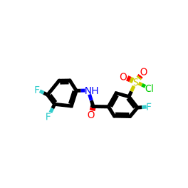 O=C(Nc1ccc(F)c(F)c1)c1ccc(F)c(S(=O)(=O)Cl)c1